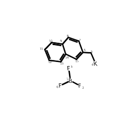 FB(F)F.[K][CH2]c1ccc2ccccc2c1